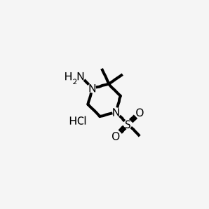 CC1(C)CN(S(C)(=O)=O)CCN1N.Cl